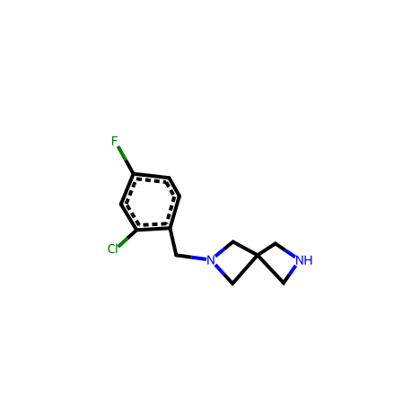 Fc1ccc(CN2CC3(CNC3)C2)c(Cl)c1